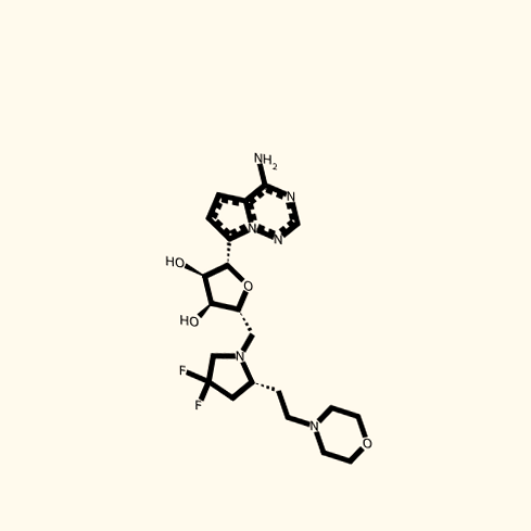 Nc1ncnn2c([C@@H]3O[C@H](CN4CC(F)(F)C[C@H]4CCN4CCOCC4)[C@@H](O)[C@H]3O)ccc12